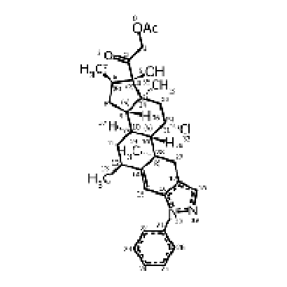 CC(=O)OCC(=O)[C@@]1(O)[C@H](C)C[C@H]2[C@@H]3CC(C)C4=Cc5c(cnn5-c5ccccc5)C[C@]4(C)[C@H]3[C@@H](Cl)C[C@@]21C